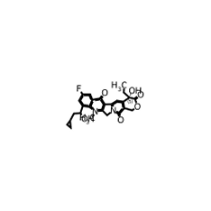 CC[C@@]1(O)C(=O)OCc2c1cc1n(c2=O)Cc2c-1c(=O)c1cc(F)cc(C(O)CC3CC3)c1n2C